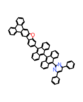 c1ccc(-c2cc(-c3ccccc3)nc(-c3c4ccccc4c(-c4c5ccccc5c(-c5ccc6c(c5)oc5cc7c8ccccc8c8ccccc8c7cc56)c5ccccc45)c4ccccc34)n2)cc1